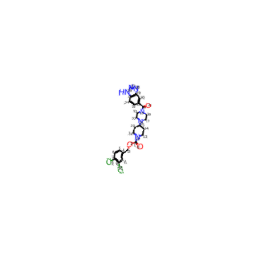 O=C(OCc1ccc(Cl)c(Cl)c1)N1CCC(N2CCN(C(=O)c3ccc4[nH]nnc4c3)CC2)CC1